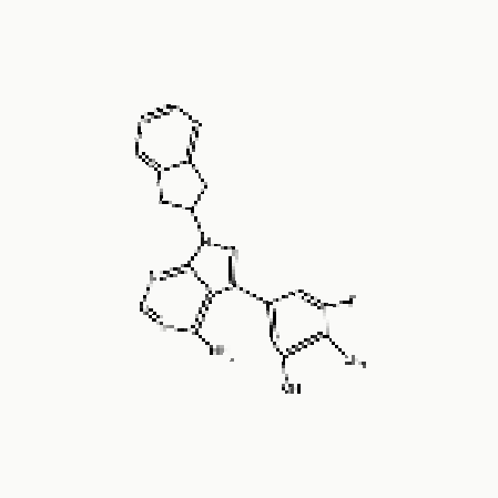 Nc1ncnc2c1c(-c1cc(O)c(C(F)(F)F)c(F)c1)nn2C1Cc2ccccc2C1